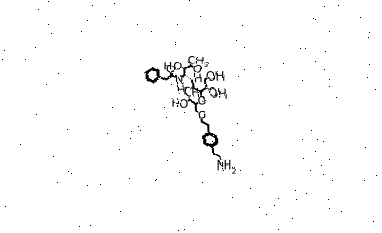 C[C@@H](O)C(COCCc1ccc(CCN)cc1)OC(CC[C@H](NC(=O)Cc1ccccc1)[C@H](O)[C@@H](C)O)[C@@H](O)CO